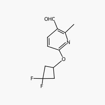 Cc1nc(OC2CC(F)(F)C2)ccc1C=O